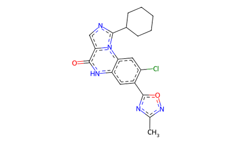 Cc1noc(-c2cc3[nH]c(=O)c4cnc(C5CCCCC5)n4c3cc2Cl)n1